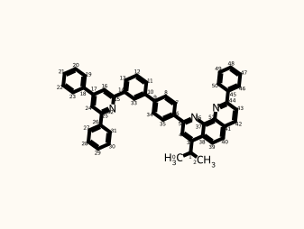 CC(C)c1cc(-c2ccc(-c3cccc(-c4cc(-c5ccccc5)cc(-c5ccccc5)n4)c3)cc2)nc2c1ccc1ccc(-c3ccccc3)nc12